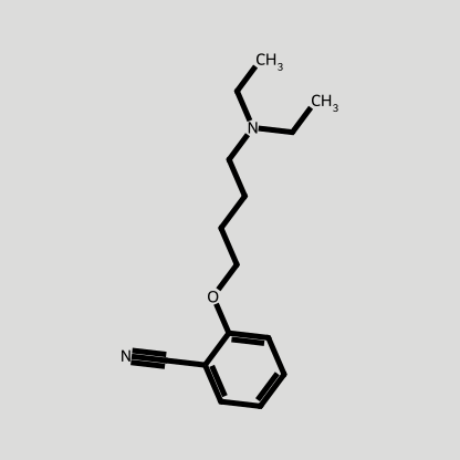 CCN(CC)CCCCOc1ccccc1C#N